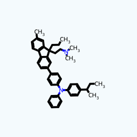 CCCC1(CCN(C)C)c2cc(C)ccc2-c2ccc(-c3ccc(N(c4ccccc4)c4ccc(C(C)CC)cc4)cc3)cc21